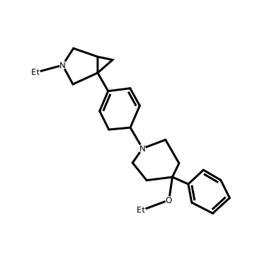 CCOC1(c2ccccc2)CCN(C2C=CC(C34CC3CN(CC)C4)=CC2)CC1